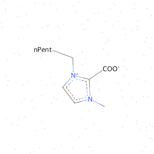 CCCCCC[n+]1ccn(C)c1C(=O)[O-]